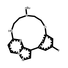 CCCCN1CCNc2ccn3ncc(c3n2)-c2cc(F)cc(c2)OCC1